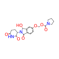 O=C1CCC(N2C(=O)c3ccc(OCOC(=O)N4CCCC4)cc3C2O)C(=O)N1